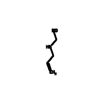 C=CCNCN=O